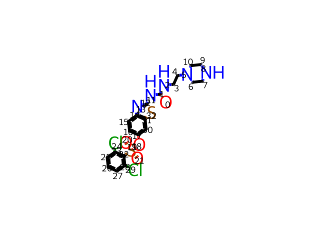 O=C(NCCN1CCNCC1)Nc1nc2ccc(OS(=O)(=O)c3c(Cl)cccc3Cl)cc2s1